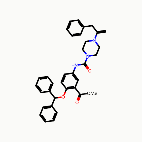 C=C(Cc1ccccc1)N1CCN(C(=O)Nc2ccc(OC(c3ccccc3)c3ccccc3)c(C(=O)OC)c2)CC1